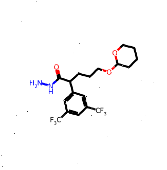 NNC(=O)C(CCCOC1CCCCO1)c1cc(C(F)(F)F)cc(C(F)(F)F)c1